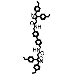 CCc1ccc(C2=NCC(CC(=O)NCc3ccc(-c4ccc(CNC(=O)Cc5onc(-c6ccc(CC)cc6)c5-c5ccc(CC)cc5)cc4)cc3)=C2c2ccc(CC)cc2)cc1